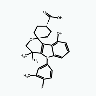 Cc1cc(-n2c3c(c4c(O)cccc42)[C@]2(CC[C@@H](C(=O)O)CC2)OCC3(C)C)ccc1F